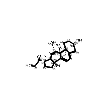 C[C@]12C[C@H](O)[C@H]3C(=CC=C4C[C@@H](O)CC[C@@]43C)[C@@H]1CC[C@@H]2C(=O)CO